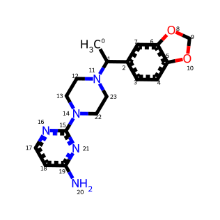 CC(c1ccc2c(c1)OCO2)N1CCN(c2nccc(N)n2)CC1